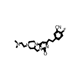 CN(C)CCN1CCN2c3cc(CCc4ccc(F)c(C#N)c4)nc(=O)n3CC2C1